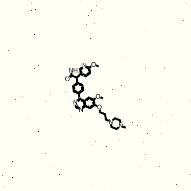 COc1ccc(C(C(N)=O)c2ccc(-c3ncnc4cc(OCCCN5CCN(C)CC5)c(OC)cc34)cc2)cn1